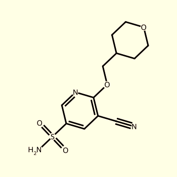 N#Cc1cc(S(N)(=O)=O)cnc1OCC1CCOCC1